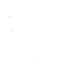 CC(=O)C1=C(O)[C@@H](N(C)C)[C@@H]2C[C@@H]3Cc4c(C(F)(F)F)cc(NS(C)(=O)=O)c(O)c4C(=O)C3=C(O)[C@]2(O)C1=O